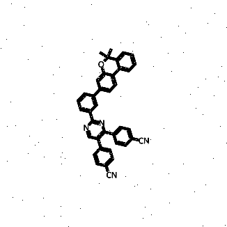 CC1(C)Oc2cc(-c3cccc(-c4ncc(-c5ccc(C#N)cc5)c(-c5ccc(C#N)cc5)n4)c3)ccc2-c2ccccc21